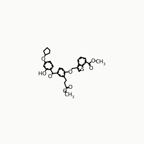 COC(=O)CCc1cc(C(=O)c2ccc(OC3CCCC3)cc2O)ccc1OCc1csc2c(C(=O)OC)cccc12